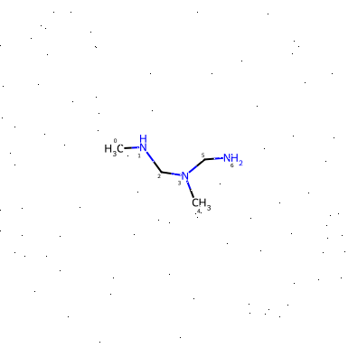 CNCN(C)CN